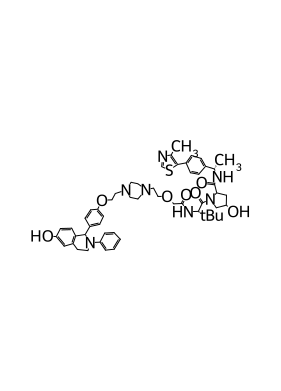 Cc1ncsc1-c1ccc([C@H](C)NC(=O)C2CC(O)CN2C(=O)[C@@H](NC(=O)COCCN2CCN(CCOc3ccc(C4c5ccc(O)cc5CCN4c4ccccc4)cc3)CC2)C(C)(C)C)cc1